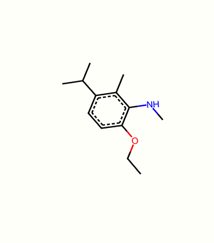 CCOc1ccc(C(C)C)c(C)c1NC